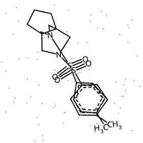 Cc1ccc(S(=O)(=O)N2CC34CCCC3(C2)CN(S(=O)(=O)c2ccc(C)cc2)C4)cc1